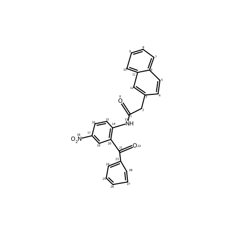 O=C(Cc1ccc2ccccc2c1)Nc1ccc([N+](=O)[O-])cc1C(=O)c1ccccc1